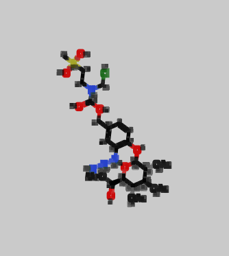 COC(=O)[C@H]1O[C@@H](Oc2ccc(COC(=O)N(CCl)CCS(C)(=O)=O)cc2N=[N+]=[N-])[C@H](OC(C)=O)[C@@H](OC(C)=O)[C@@H]1OC(C)=O